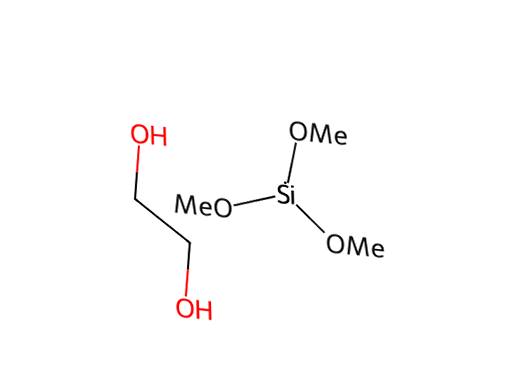 CO[Si](OC)OC.OCCO